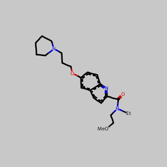 CCN(CCOC)C(=O)c1ccc2cc(OCCCN3CCCCC3)ccc2n1